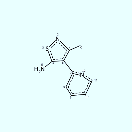 Cc1nsc(N)c1-c1ccccn1